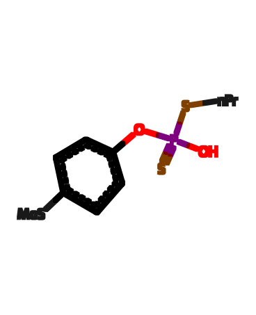 CCCSP(O)(=S)Oc1ccc(SC)cc1